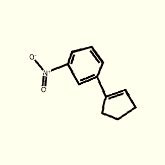 O=[N+]([O-])c1cccc(C2=CCCC2)c1